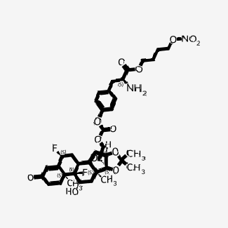 CC1(C)O[C@@H]2CC3C4C[C@H](F)C5=CC(=O)C=C[C@]5(C)[C@@]4(F)[C@@H](O)C[C@]3(C)[C@]2(C(=O)COC(=O)Oc2ccc(C[C@H](N)C(=O)OCCCCO[N+](=O)[O-])cc2)O1